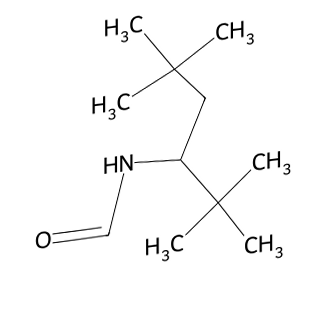 CC(C)(C)CC(NC=O)C(C)(C)C